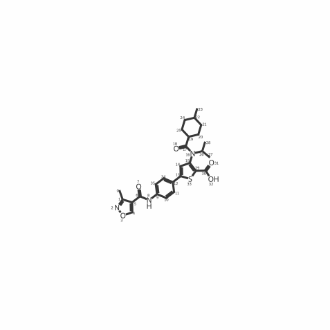 Cc1nocc1C(=O)Nc1ccc(-c2cc(N(C(=O)C3CCC(C)CC3)C(C)C)c(C(=O)O)s2)cc1